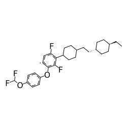 CC[C@H]1CC[C@H](CCC2CCC(c3c(F)c[c]c(Oc4ccc(OC(F)F)cc4)c3F)CC2)CC1